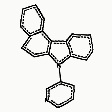 c1cncc(-n2c3ccccc3c3c4ccccc4ccc32)c1